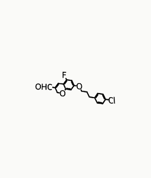 O=CC1=Cc2c(F)cc(OCCCc3ccc(Cl)cc3)cc2OC1